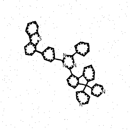 c1ccc(-c2nc(-c3ccc(-c4cccc5c4sc4ccccc45)cc3)nc(-c3cccc4c3-c3ccccc3C4(c3ccncc3)c3ccncc3)n2)cc1